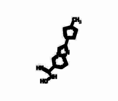 Cc1ccc(-c2cn3cc(C(=N)NO)ccc3n2)cc1